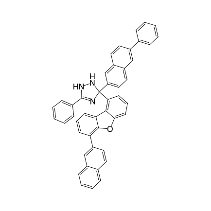 c1ccc(C2=NC(c3ccc4cc(-c5ccccc5)ccc4c3)(c3cccc4oc5c(-c6ccc7ccccc7c6)cccc5c34)NN2)cc1